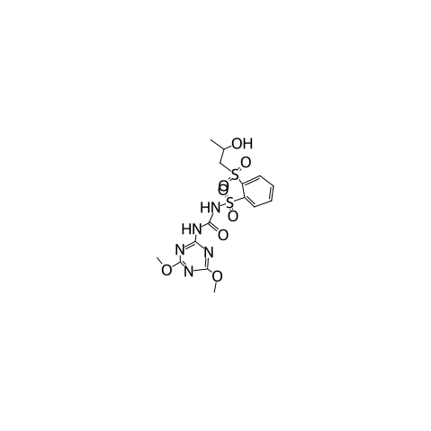 COc1nc(NC(=O)NS(=O)(=O)c2ccccc2S(=O)(=O)CC(C)O)nc(OC)n1